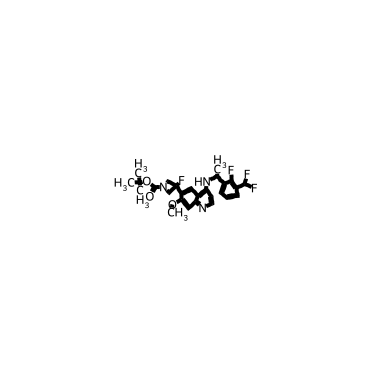 COc1cc2nccc(NC(C)c3cccc(C(F)F)c3F)c2cc1C1(F)CN(C(=O)OC(C)(C)C)C1